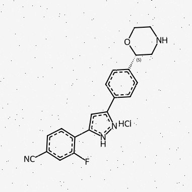 Cl.N#Cc1ccc(-c2cc(-c3ccc([C@H]4CNCCO4)cc3)n[nH]2)c(F)c1